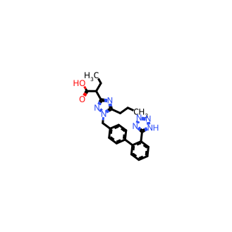 CCCc1nc(C(CC)C(=O)O)nn1Cc1ccc(-c2ccccc2-c2nnn[nH]2)cc1